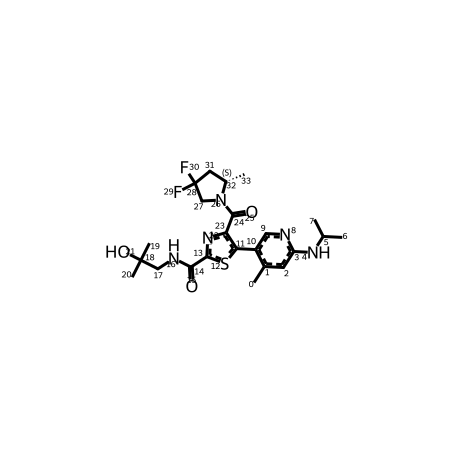 Cc1cc(NC(C)C)ncc1-c1sc(C(=O)NCC(C)(C)O)nc1C(=O)N1CC(F)(F)C[C@@H]1C